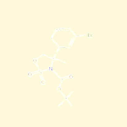 CC(C)(C)OC(=O)N1C(C)(C2C=C(Br)C=CC2)COS1(=O)=O